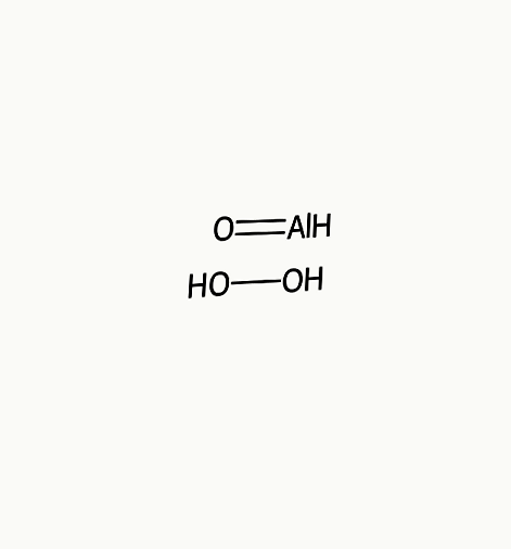 OO.[O]=[AlH]